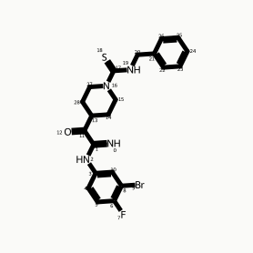 N=C(Nc1ccc(F)c(Br)c1)C(=O)C1CCN(C(=S)NCc2ccccc2)CC1